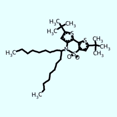 CCCCCCCCC(CCCCCCCC)N1c2cc(C(C)(C)C)sc2-c2sc(C(C)(C)C)cc2S1(=O)=O